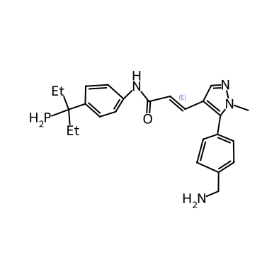 CCC(P)(CC)c1ccc(NC(=O)/C=C/c2cnn(C)c2-c2ccc(CN)cc2)cc1